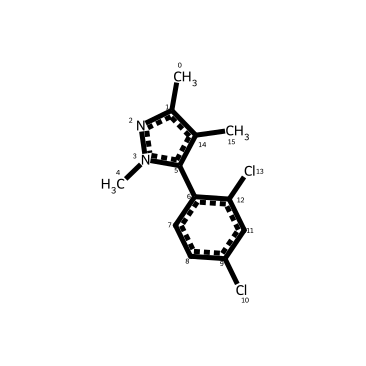 Cc1nn(C)c(-c2ccc(Cl)cc2Cl)c1C